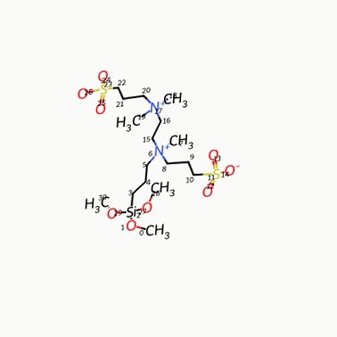 CO[Si](CCC[N+](C)(CCCS(=O)(=O)[O-])CC[N+](C)(C)CCCS(=O)(=O)[O-])(OC)OC